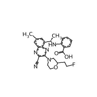 Cc1cc([C@@H](C)Nc2ccccc2C(=O)O)c2nc(N3CCOC(CCF)C3)c(C#N)nc2c1